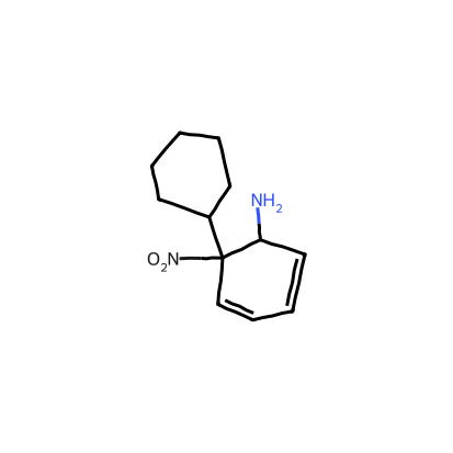 NC1C=CC=CC1(C1CCCCC1)[N+](=O)[O-]